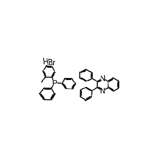 Br.Cc1ccccc1P(c1ccccc1)c1ccccc1.c1ccc(-c2nc3ccccc3nc2-c2ccccc2)cc1